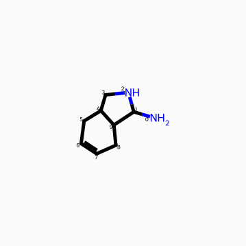 NC1NCC2CC=CCC21